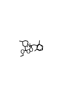 CCOC(=O)C1CC(C)CCN1C(=O)Cc1c(C)cccc1C